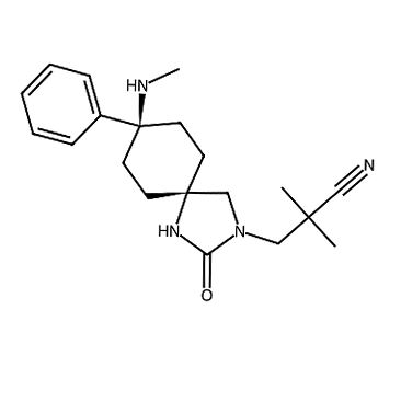 CN[C@]1(c2ccccc2)CC[C@@]2(CC1)CN(CC(C)(C)C#N)C(=O)N2